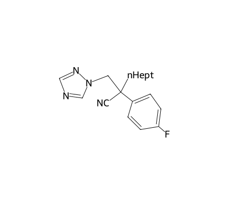 CCCCCCCC(C#N)(Cn1cncn1)c1ccc(F)cc1